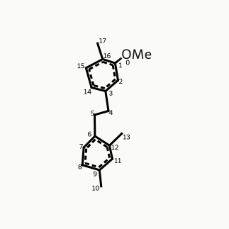 COc1cc(CCc2ccc(C)cc2C)ccc1C